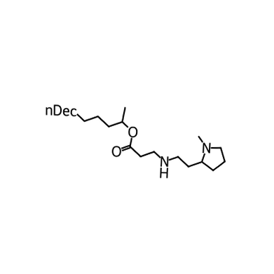 CCCCCCCCCCCCCC(C)OC(=O)CCNCCC1CCCN1C